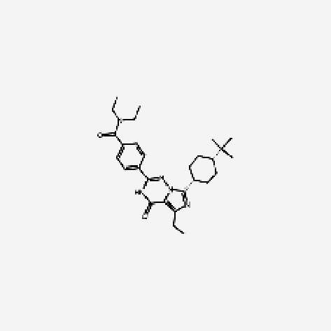 CCc1nc([C@H]2CC[C@@H](C(C)(C)C)CC2)n2nc(-c3ccc(C(=O)N(CC)CC)cc3)[nH]c(=O)c12